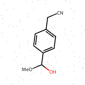 COC(O)c1ccc(CC#N)cc1